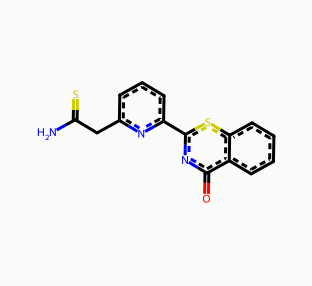 NC(=S)Cc1cccc(-c2nc(=O)c3ccccc3s2)n1